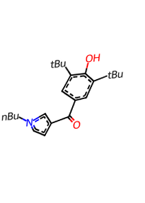 CCCCn1ccc(C(=O)c2cc(C(C)(C)C)c(O)c(C(C)(C)C)c2)c1